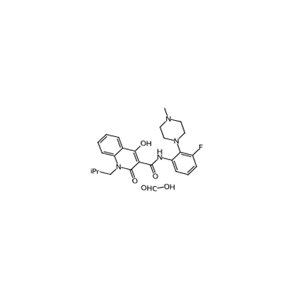 CC(C)Cn1c(=O)c(C(=O)Nc2cccc(F)c2N2CCN(C)CC2)c(O)c2ccccc21.O=CO